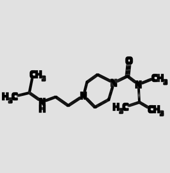 CC(C)NCCN1CCN(C(=O)N(C)C(C)C)CC1